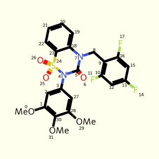 COc1cc(N2C(=O)N(Cc3c(F)cc(F)cc3F)c3ccccc3S2(=O)=O)cc(OC)c1OC